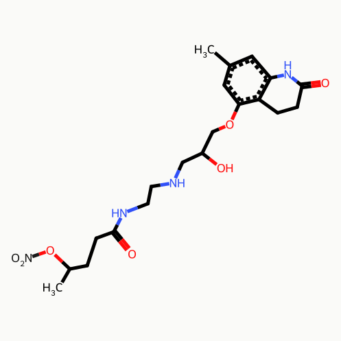 Cc1cc2c(c(OCC(O)CNCCNC(=O)CCC(C)O[N+](=O)[O-])c1)CCC(=O)N2